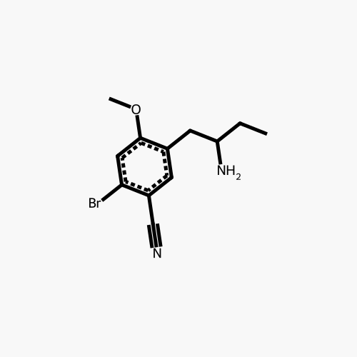 CCC(N)Cc1cc(C#N)c(Br)cc1OC